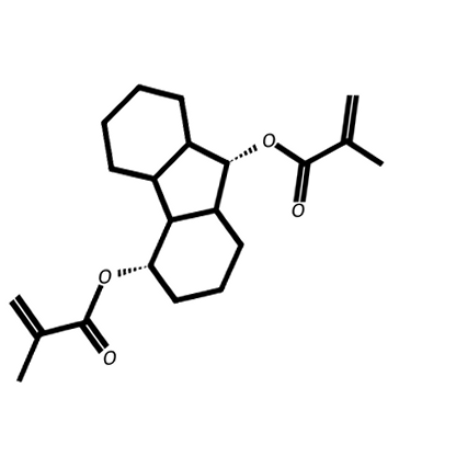 C=C(C)C(=O)O[C@H]1C2CCCCC2C2C1CCC[C@@H]2OC(=O)C(=C)C